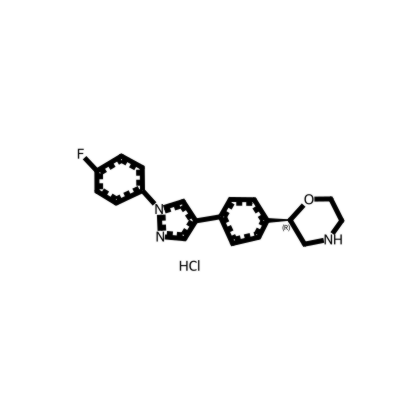 Cl.Fc1ccc(-n2cc(-c3ccc([C@@H]4CNCCO4)cc3)cn2)cc1